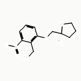 C[C@@]1(COc2cccc([N+](=O)[O-])c2CN)CCCN1